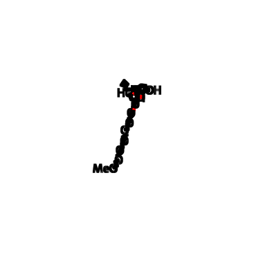 COCCOCCOCCOCCOCCOCCOCCOC1CC[C@@]2(O)C3Cc4ccc(O)c5c4[C@@]2(CCN3CC2CCC2)[C@H]1O5